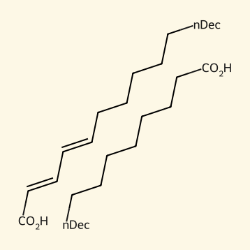 CCCCCCCCCCCCCCC/C=C/C=C/C(=O)O.CCCCCCCCCCCCCCCCCC(=O)O